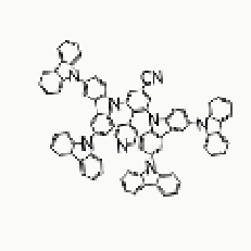 N#Cc1cc(-n2c3ccc(-n4c5ccccc5c5ccccc54)cc3c3cc(-n4c5ccccc5c5ccccc54)ccc32)c(-c2ccncc2)c(-n2c3ccc(-n4c5ccccc5c5ccccc54)cc3c3cc(-n4c5ccccc5c5ccccc54)ccc32)c1